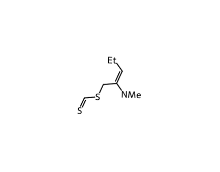 CC/C=C(\CSC=S)NC